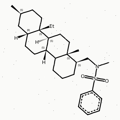 CC[C@]12CC[C@H](C)C[C@H]1CC[C@H]1C3CCC[C@H](CN(C)S(=O)(=O)c4ccccc4)[C@@]3(C)CC[C@@H]12